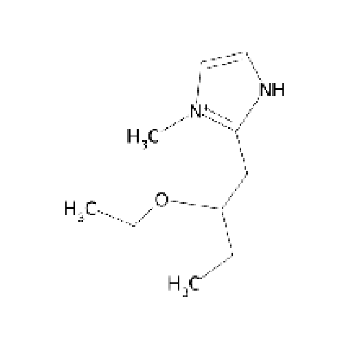 CCOC(CC)Cc1[nH]cc[n+]1C